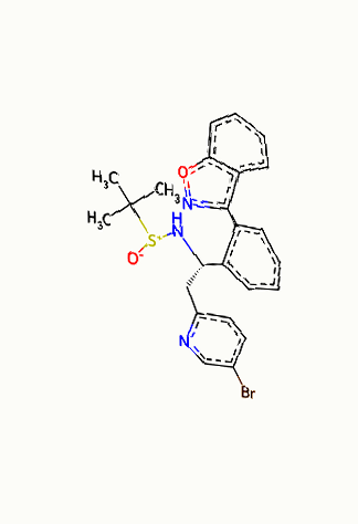 CC(C)(C)[S+]([O-])N[C@@H](Cc1ccc(Br)cn1)c1ccccc1-c1noc2ccccc12